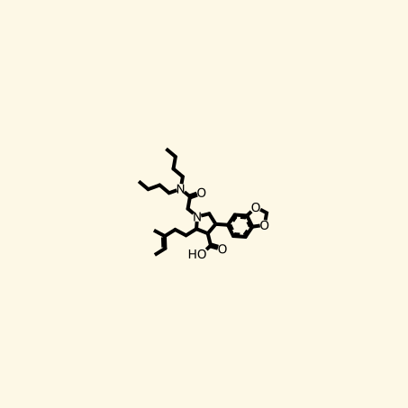 CC=C(C)CCC1C(C(=O)O)C(c2ccc3c(c2)OCO3)CN1CC(=O)N(CCCC)CCCC